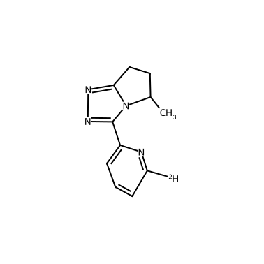 [2H]c1cccc(-c2nnc3n2C(C)CC3)n1